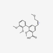 COC/C=C\c1cc(C(=O)O)c(OC)c(-c2cccc(OC)c2OC)c1